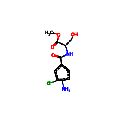 COC(=O)C(CO)NC(=O)c1ccc(N)c(Cl)c1